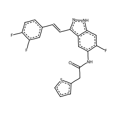 O=C(Cc1cccs1)Nc1cc2c(C=Cc3ccc(F)c(F)c3)n[nH]c2cc1F